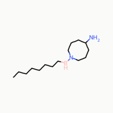 CCCCCCCCBN1CCCC(N)CCC1